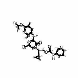 Cc1cc(Nc2nc(Cl)cn([C@H](COC(=O)Nc3cccnc3)C3CC3)c2=O)c(C)nc1OC(F)F